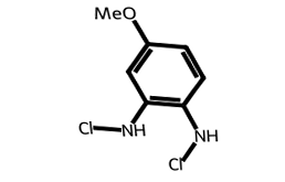 COc1ccc(NCl)c(NCl)c1